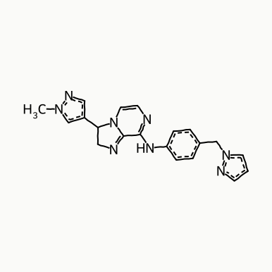 Cn1cc(C2CN=C3C(Nc4ccc(Cn5cccn5)cc4)=NC=CN32)cn1